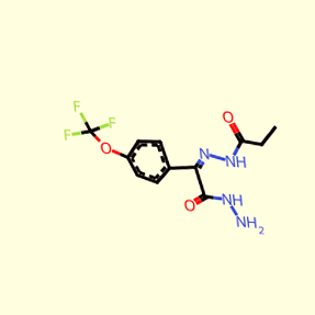 CCC(=O)NN=C(C(=O)NN)c1ccc(OC(F)(F)F)cc1